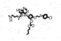 CCCCOC(=O)COc1cc(Nc2ncnc3[nH]cc(CN(C)CCCNC)c23)ccc1OCCSc1ccc(Cl)cc1